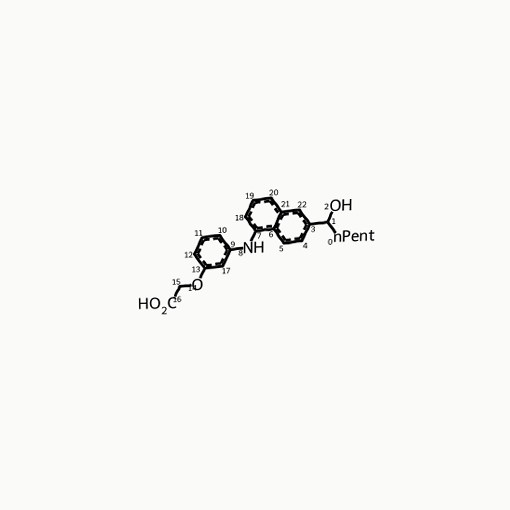 CCCCCC(O)c1ccc2c(Nc3cccc(OCC(=O)O)c3)cccc2c1